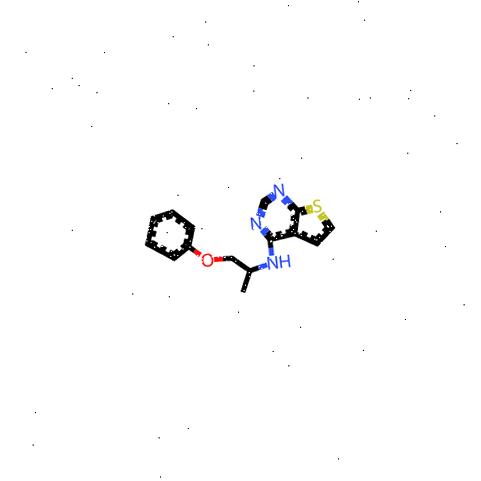 CC(COc1ccccc1)Nc1ncnc2sccc12